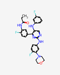 C=CC(=O)Nc1cc(-c2nc(Nc3ccc(F)c(N4CCOCC4)c3)ncc2Nc2cccc(F)c2)ccc1F